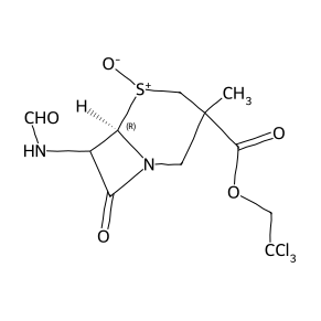 CC1(C(=O)OCC(Cl)(Cl)Cl)CN2C(=O)C(NC=O)[C@H]2[S+]([O-])C1